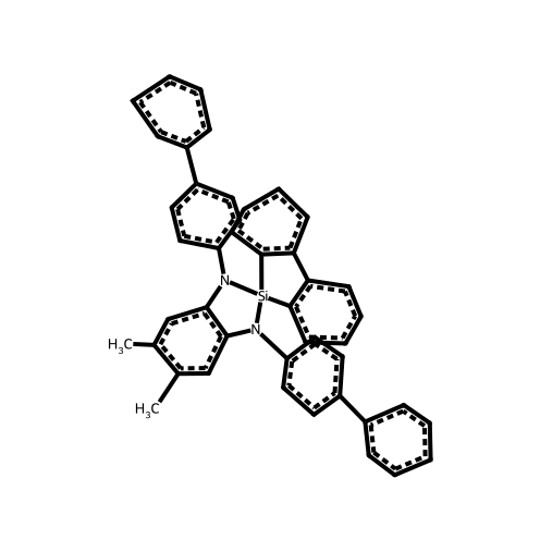 Cc1cc2c(cc1C)N(c1ccc(-c3ccccc3)cc1)[Si]1(c3ccccc3-c3ccccc31)N2c1ccc(-c2ccccc2)cc1